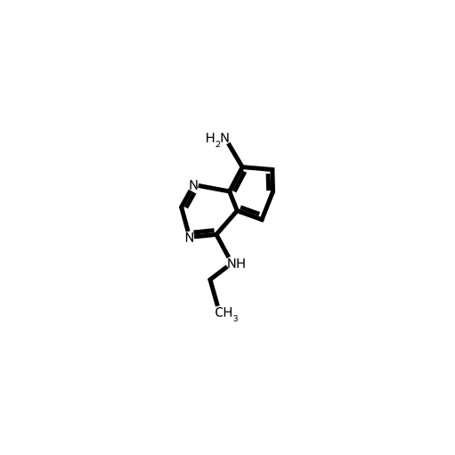 CCNc1ncnc2c(N)cccc12